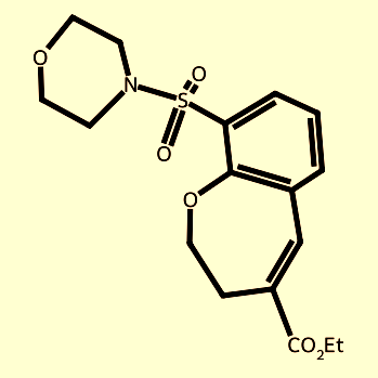 CCOC(=O)C1=Cc2cccc(S(=O)(=O)N3CCOCC3)c2OCC1